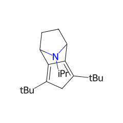 CC(C)N1C2CCC1C1=C(C(C)(C)C)CC(C(C)(C)C)=C12